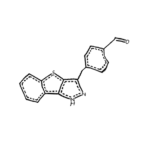 O=Cc1ccc(-c2n[nH]c3c2sc2ccccc23)cc1